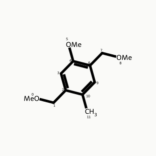 COCc1cc(OC)c(COC)cc1C